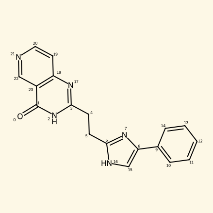 O=c1[nH]c(CCc2nc(-c3ccccc3)c[nH]2)nc2ccncc12